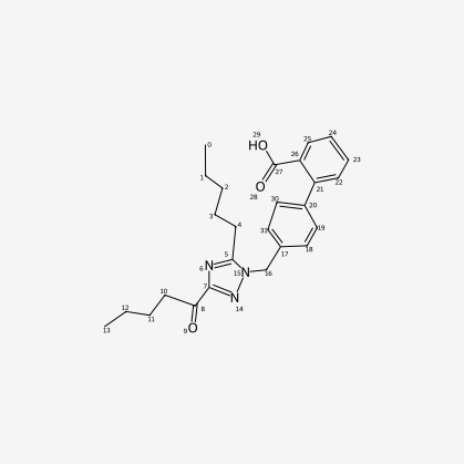 CCCCCc1nc(C(=O)CCCC)nn1Cc1ccc(-c2ccccc2C(=O)O)cc1